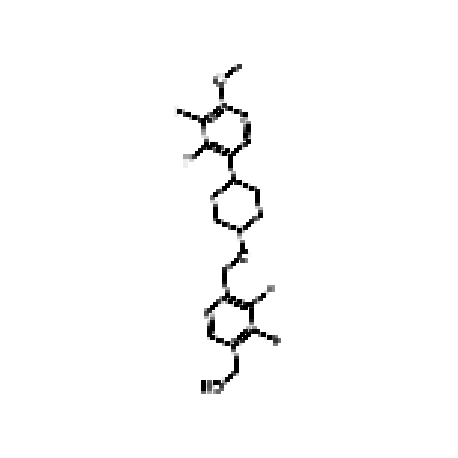 COc1ccc(C2CCC(OCc3ccc(CO)c(F)c3F)CC2)c(F)c1F